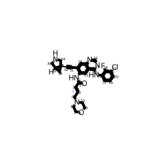 O=C(/C=C/CN1CCOCC1)Nc1cc2c(Nc3cccc(Cl)c3F)ncnc2cc1C#C[C@]12CNC[C@H]1C2